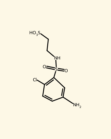 Nc1ccc(Cl)c(S(=O)(=O)NCCS(=O)(=O)O)c1